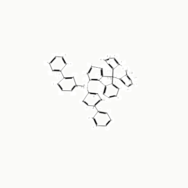 c1ccc(-c2ccc(N(c3cccc(-c4ccccc4)c3)c3cccc4c3-c3ccccc3C43c4ccccc4Oc4ccccc43)cc2)cc1